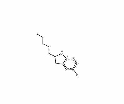 CCCCCC1Cc2cc([O])ccc2O1